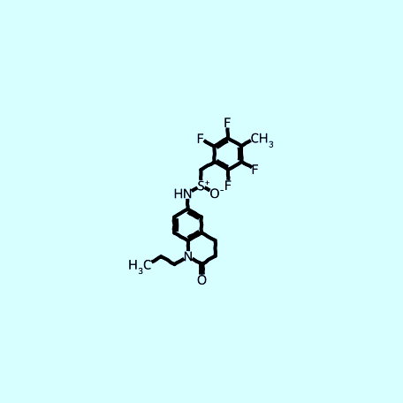 CCCN1C(=O)CCc2cc(N[S+]([O-])Cc3c(F)c(F)c(C)c(F)c3F)ccc21